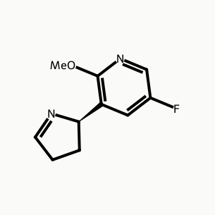 COc1ncc(F)cc1[C@H]1CCC=N1